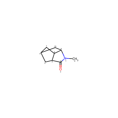 CN1C(=O)C2CC3CC2C1C3